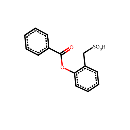 O=C(Oc1ccccc1CS(=O)(=O)O)c1ccccc1